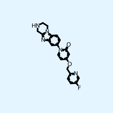 O=c1cc(OCc2ccc(F)cn2)ccn1-c1ccc2c(c1)nc1n2CCNC1